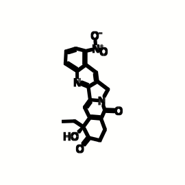 CC[C@@]1(O)C(=O)CCc2c1cc1n(c2=O)Cc2cc3c([N+](=O)[O-])cccc3nc2-1